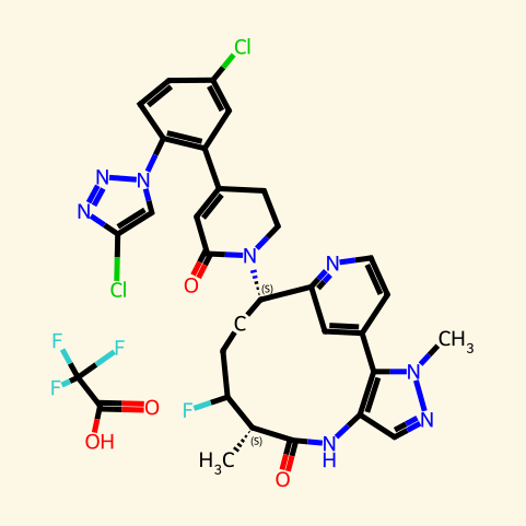 C[C@H]1C(=O)Nc2cnn(C)c2-c2ccnc(c2)[C@@H](N2CCC(c3cc(Cl)ccc3-n3cc(Cl)nn3)=CC2=O)CCC1F.O=C(O)C(F)(F)F